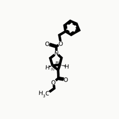 CCOC(=O)C1[C@H]2CN(C(=O)OCc3ccccc3)C[C@@H]12